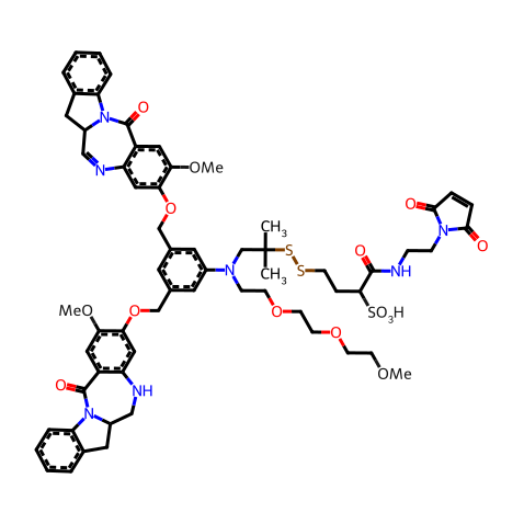 COCCOCCOCCN(CC(C)(C)SSCCC(C(=O)NCCN1C(=O)C=CC1=O)S(=O)(=O)O)c1cc(COc2cc3c(cc2OC)C(=O)N2c4ccccc4CC2C=N3)cc(COc2cc3c(cc2OC)C(=O)N2c4ccccc4CC2CN3)c1